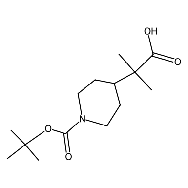 CC(C)(C)OC(=O)N1CCC(C(C)(C)C(=O)O)CC1